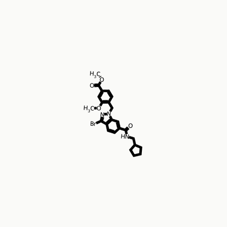 COC(=O)c1ccc(Cn2nc(Br)c3ccc(C(=O)NCC4CCCC4)cc32)c(OC)c1